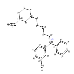 O=C(O)[C@@H]1CCCN(CCOC/C=C(/c2ccccc2)c2cccc(Cl)c2)C1